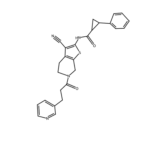 N#Cc1c(NC(=O)C2CC2c2ccccc2)sc2c1CCN(C(=O)CCc1cccnc1)C2